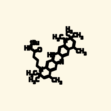 CC1=CC(C)(C)N(C)c2cc3c(cc21)N=c1cc2c(cc1=[SH]3)N(CCCC(=O)NC(C)(C)C)C(C)(C)C=C2C